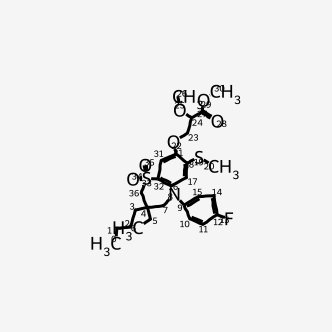 CCCCC1(CC)CN(c2ccc(F)cc2)c2cc(SC)c(OCC(OC)C(=O)OC)cc2S(=O)(=O)C1